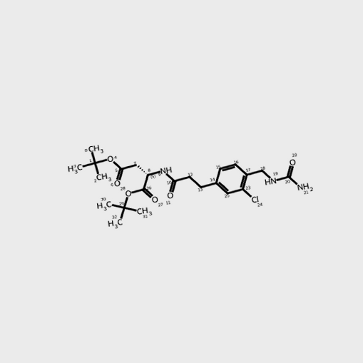 CC(C)(C)OC(=O)C[C@H](NC(=O)CCc1ccc(CNC(N)=O)c(Cl)c1)C(=O)OC(C)(C)C